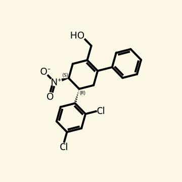 O=[N+]([O-])[C@H]1CC(CO)=C(c2ccccc2)C[C@@H]1c1ccc(Cl)cc1Cl